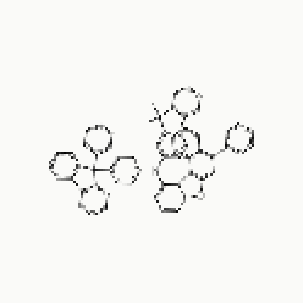 CC1(C)c2ccccc2-c2ccc(N(C3=CC=CC4Oc5cc(-c6ccccc6)c6ccccc6c5C34)c3ccc(C4(c5ccccc5)c5ccccc5-c5ccccc54)cc3)cc21